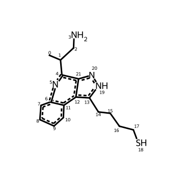 CC(CN)c1nc2ccccc2c2c(CCCCS)[nH]nc12